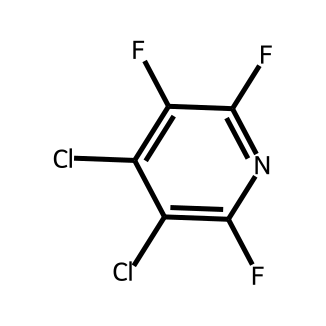 Fc1nc(F)c(Cl)c(Cl)c1F